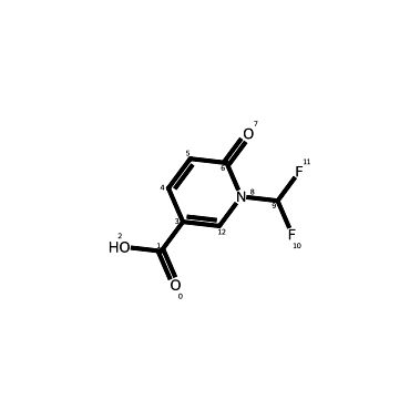 O=C(O)c1ccc(=O)n(C(F)F)c1